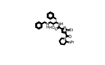 CCCC1CCCCN1C(=O)c1cc(C(=O)N[C@@H](Cc2ccccc2)[C@H](O)CNCc2ccccc2)nn1CC